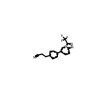 N#CCCc1ccc(-c2ccc3nnc(C(F)(F)F)n3c2)cc1